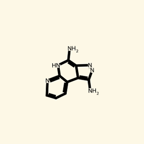 Nc1nnc2c(N)[nH]c3ncccc3c1-2